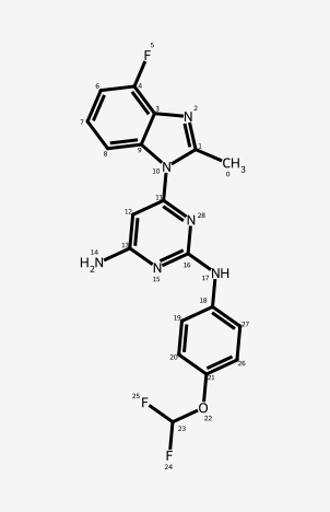 Cc1nc2c(F)cccc2n1-c1cc(N)nc(Nc2ccc(OC(F)F)cc2)n1